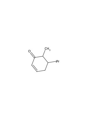 CC(C)C1CC=CC(=O)C1C